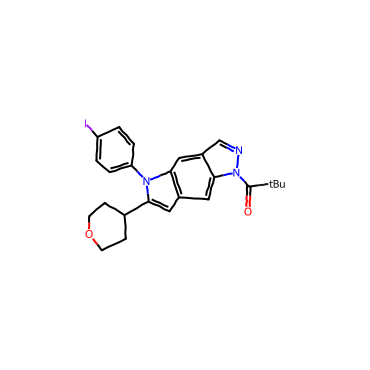 CC(C)(C)C(=O)n1ncc2cc3c(cc(C4CCOCC4)n3-c3ccc(I)cc3)cc21